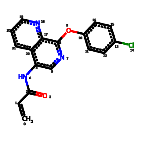 C=CC(=O)Nc1cnc(Oc2ccc(Cl)cc2)c2ncccc12